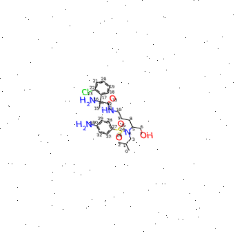 CC(C)CN(C(CO)CCCNC(=O)C(C)(N)c1ccccc1Cl)S(=O)(=O)c1ccc(N)cc1